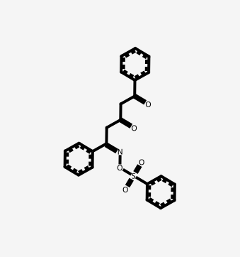 O=C(CC(=O)c1ccccc1)CC(=NOS(=O)(=O)c1ccccc1)c1ccccc1